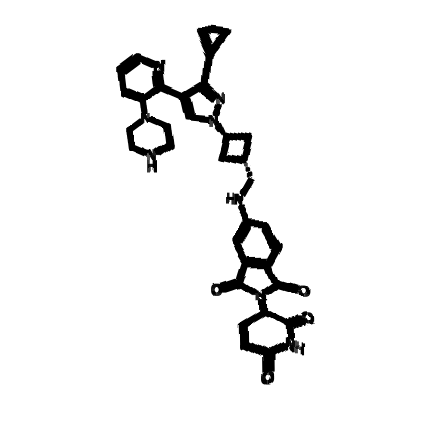 O=C1CCC(N2C(=O)c3ccc(NC[C@H]4C[C@H](n5cc(-c6ncccc6N6CCNCC6)c(C6CC6)n5)C4)cc3C2=O)C(=O)N1